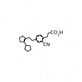 N#Cc1cc(CCC2=C(C3CCCC3)CCC2)ccc1CCC(=O)O